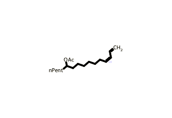 C=C/C=C\CCCCCCC(CCCCC)OC(C)=O